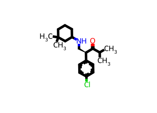 CC(C)C(=O)[C@H](CNC1CCCC(C)(C)C1)c1ccc(Cl)cc1